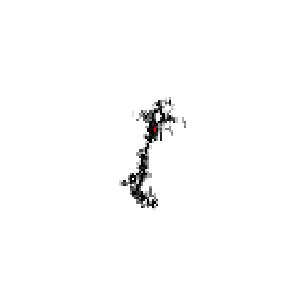 CC(=O)CC[C@@H](NC(=O)N[C@H](CCCCN(Cc1ccc(Br)nc1)C(=O)c1ccc(CNC(=O)CCCCCC(=S)Nc2ccc(CC3CN(CC(N)=O)CCN(CC(N)=O)CCN(CC(N)=O)CCN3CC(N)=O)cc2)cc1)C(=O)O)C(=O)O